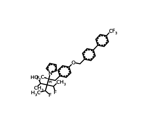 CC(F)C(C(C)F)(C(C)F)[C@](Cc1ccc(OCc2ccc(-c3ccc(C(F)(F)F)cc3)cc2)cc1)(C(=O)O)n1cccc1